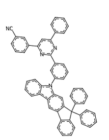 N#Cc1cccc(-c2cc(-c3ccccc3)nc(-c3cccc(-n4c5ccccc5c5cc6c(cc54)C(c4ccccc4)(c4ccccc4)c4ccccc4-6)c3)n2)c1